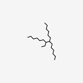 CCCCCC[C](CCCCCC)C(CC)CCCCCC